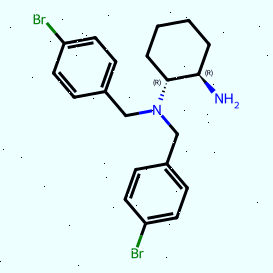 N[C@@H]1CCCC[C@H]1N(Cc1ccc(Br)cc1)Cc1ccc(Br)cc1